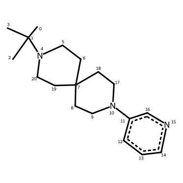 CC(C)(C)N1CCC2(CCN(c3cccnc3)CC2)CC1